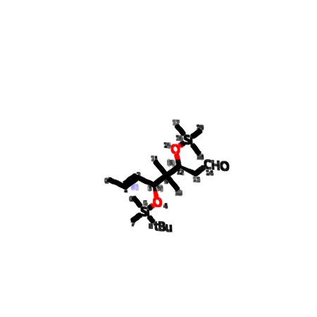 C/C=C/[C@H](O[Si](C)(C)C(C)(C)C)C(C)(C)[C@H](CC=O)O[Si](C)(C)C